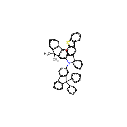 CC1(C)c2ccccc2-c2ccc(N(c3ccc4c(c3)C(c3ccccc3)(c3ccccc3)c3ccccc3-4)c3ccccc3-c3ccc4sc5ccccc5c4c3)cc21